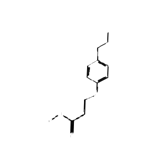 CC(C)(C)OC(=O)CCOc1ccc(CCO)cc1